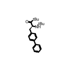 CC(C)(C)N[C@@H](Cc1ccc(-c2ccccc2)cc1)C(=O)C(C)(C)C